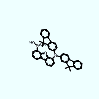 CC1(C)c2ccccc2-c2ccc(N(c3ccc4c(c3)C(C)(C)c3ccccc3-4)c3cccc4c3oc3c(B(O)O)cccc34)cc21